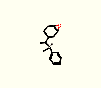 CC(C1CCC2OC2C1)[Si](C)(C)c1ccccc1